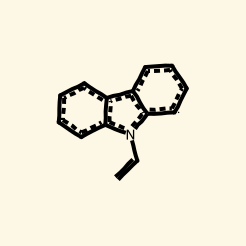 C=Cn1c2[c]cccc2c2ccccc21